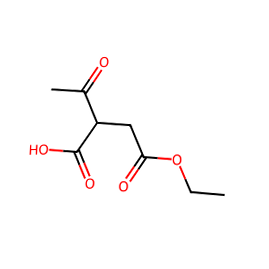 CCOC(=O)CC(C(C)=O)C(=O)O